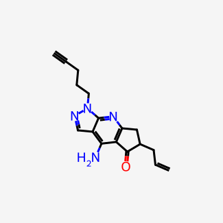 C#CCCCn1ncc2c(N)c3c(nc21)CC(CC=C)C3=O